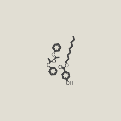 CC(Oc1ccccc1)OC(C)Oc1ccccc1.CCCCCCCCCOC(=O)c1ccc(O)cc1